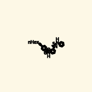 CCCCCCC#Cc1ccc(S(=O)(=O)Nc2cccc(-c3csc(Nc4ccccc4)n3)c2)cc1